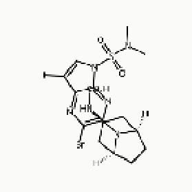 CN(C)S(=O)(=O)n1cc(I)c2nc(Br)c(N3[C@@H]4CC[C@H]3C[C@@H](NC(=O)O)C4)nc21